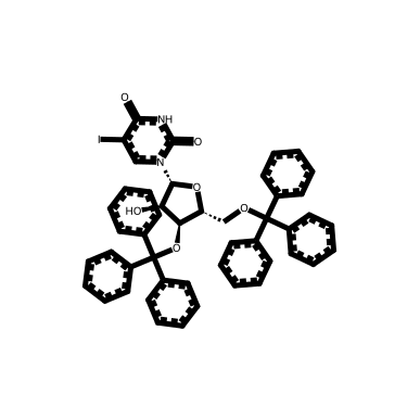 O=c1[nH]c(=O)n([C@@H]2O[C@H](COC(c3ccccc3)(c3ccccc3)c3ccccc3)[C@@H](OC(c3ccccc3)(c3ccccc3)c3ccccc3)[C@H]2O)cc1I